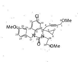 COCC#CCC1(C2CC2)c2cc(Cl)ccc2N(Cc2ccc(OC)cc2)C(=O)N1CCOC